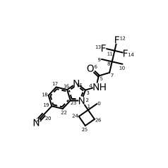 CC1(n2c(NC(=O)CC(C)(C)C(F)(F)F)nc3ccc(C#N)cc32)CCC1